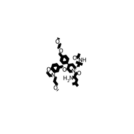 COCCCN1CCOc2ccc(CO[C@H]3CN(C(=O)C(N)CC(C)C)[C@@H](CC(C)(C)NC(C)=O)C[C@@H]3c3ccc(COCCOC)cc3)cc21